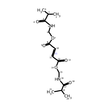 CC(C)C(=O)NCOC(=O)/C=C/C(=O)OCNC(=O)C(C)C